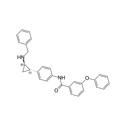 O=C(Nc1ccc([C@@H]2C[C@H]2NCc2ccccc2)cc1)c1cccc(Oc2ccccc2)c1